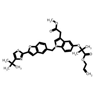 C=CCOC(=O)C(C)(C)Oc1ccc2c(c1)c(CC(=O)OC)cn2Cc1ccc2oc(-c3nc(C(C)(C)C)cs3)cc2c1